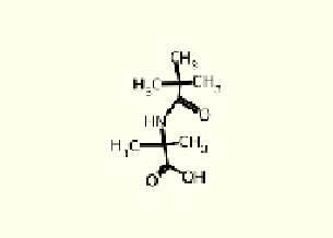 CC(C)(C)C(=O)NC(C)(C)C(=O)O